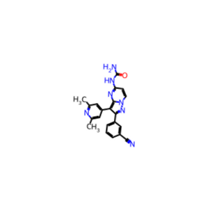 Cc1cc(-c2c(-c3cccc(C#N)c3)nn3ccc(NC(N)=O)nc23)cc(C)n1